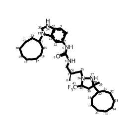 C[C@@H](CNC(=O)Nc1ccc2c(c1)N(C1CCCCCCCC1)CN2)CN1NC(C)(C2CCCCCCCC2)CC1C(F)(F)F